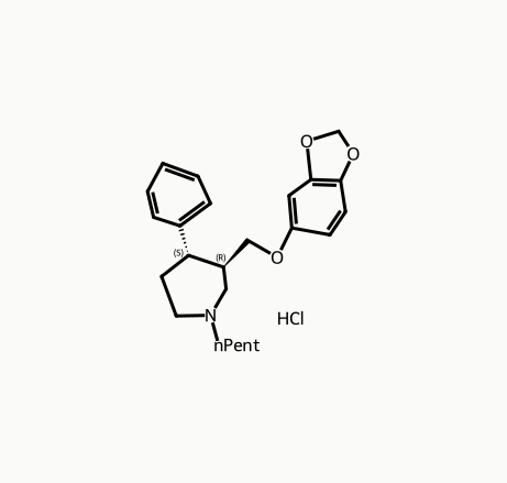 CCCCCN1CC[C@H](c2ccccc2)[C@@H](COc2ccc3c(c2)OCO3)C1.Cl